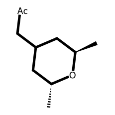 CC(=O)CC1C[C@@H](C)O[C@H](C)C1